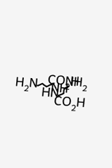 NCCC[C@H](NN[C@H](CCCN)C(=O)O)C(=O)O